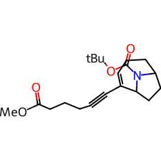 COC(=O)CCCC#CC1=CCCC2CCC1N2C(=O)OC(C)(C)C